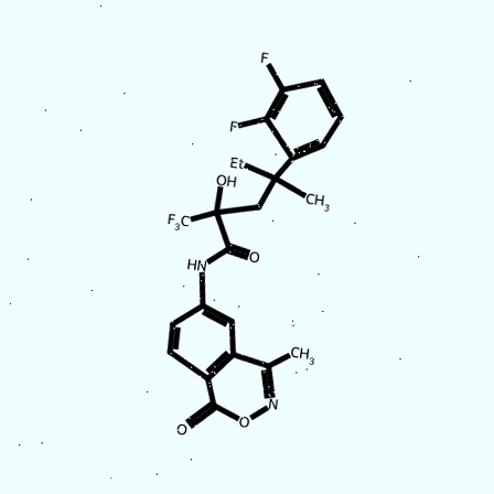 CCC(C)(CC(O)(C(=O)Nc1ccc2c(=O)onc(C)c2c1)C(F)(F)F)c1cccc(F)c1F